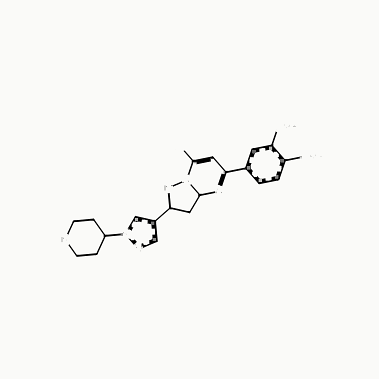 COc1ccc(C2=NC3CC(c4cnn(C5CCNCC5)c4)NN3C(C(F)(F)F)=C2)cc1OC